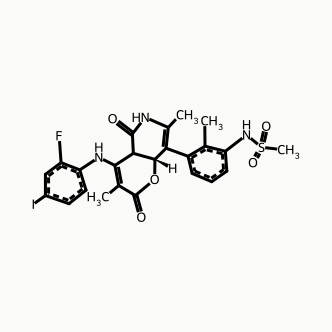 CC1=C(c2cccc(NS(C)(=O)=O)c2C)[C@@H]2OC(=O)C(C)=C(Nc3ccc(I)cc3F)C2C(=O)N1